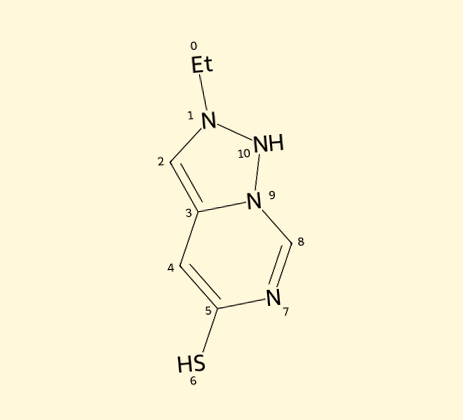 CCN1C=C2C=C(S)N=CN2N1